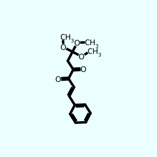 COC(CC(=O)C(=O)C=Cc1ccccc1)(OC)OC